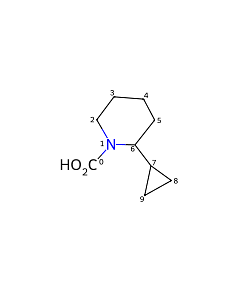 O=C(O)N1CCCCC1C1CC1